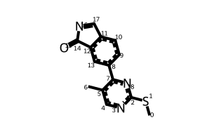 CSc1ncc(C)c(-c2ccc3c(c2)C(=O)N=C3)n1